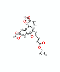 CCOC(=O)/C=C/c1cc(-c2ccc3c(c2)OCO3)c(-c2ccc3c(c2)OCO3)o1